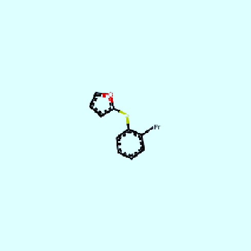 CC(C)c1ccccc1Sc1ccco1